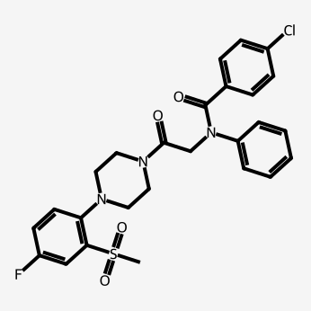 CS(=O)(=O)c1cc(F)ccc1N1CCN(C(=O)CN(C(=O)c2ccc(Cl)cc2)c2ccccc2)CC1